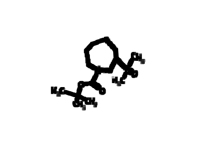 CC(C)(C)OC(=O)N1CCCCCC(P(C)(C)=O)C1